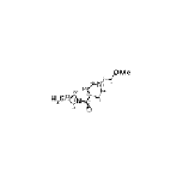 COCCN1CCC(C(=O)N2CC(C)C2)CC1